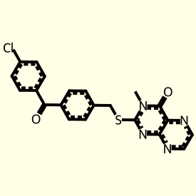 Cn1c(SCc2ccc(C(=O)c3ccc(Cl)cc3)cc2)nc2nccnc2c1=O